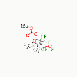 CC(C)(C)OC(=O)OC(=O)[C@@]1(F)N(C(C(F)(F)F)(C(F)(F)F)C(F)(F)F)C(F)(F)[C@](F)(OF)C1(F)F